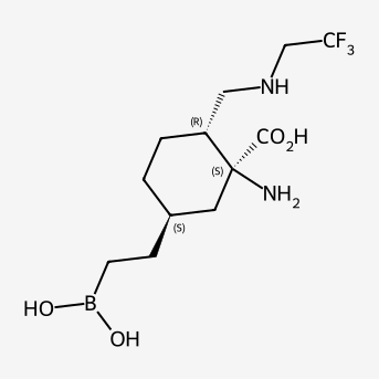 N[C@@]1(C(=O)O)C[C@@H](CCB(O)O)CC[C@@H]1CNCC(F)(F)F